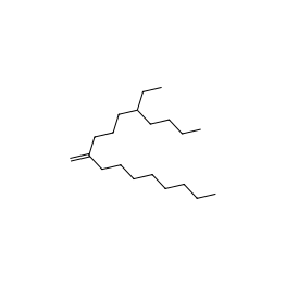 C=C(CCCCCCCC)CCCC(CC)CCCC